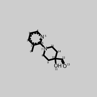 Cc1cccnc1N1CCC(O)(C=O)CC1